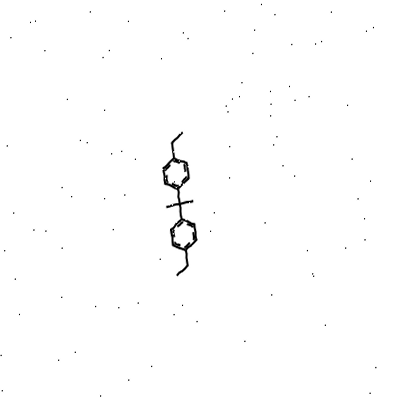 CCc1ccc(C(C)(C)c2ccc(CC)cc2)cc1